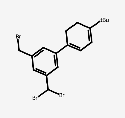 CC(C)(C)C1=CC=C(c2cc(CBr)cc(C(Br)Br)c2)CC1